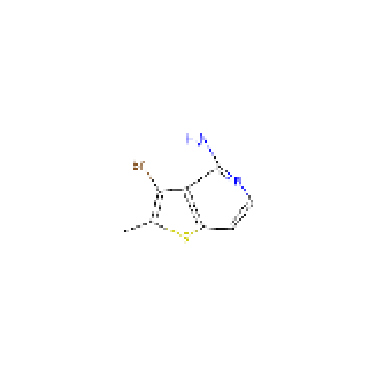 Cc1sc2ccnc(N)c2c1Br